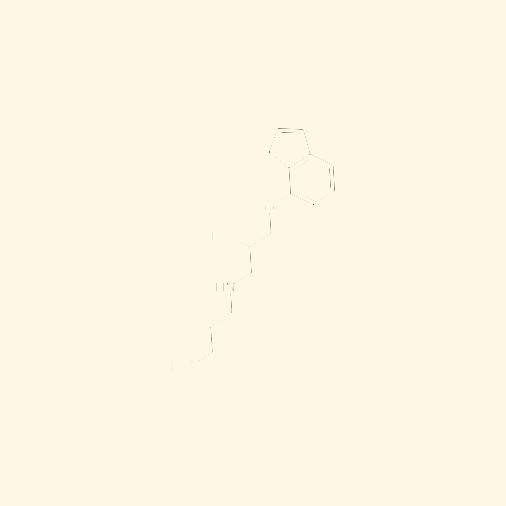 CCCCNCC(O)COc1cccc2c1CC=C2